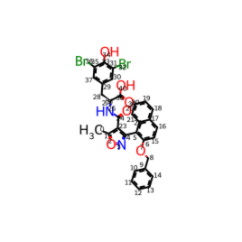 Cc1onc(-c2c(OCc3ccccc3)ccc3ccccc23)c1C(=O)N[C@@H](Cc1cc(Br)c(O)c(Br)c1)C(=O)O